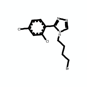 Clc1ccc(C2=NN=C[SH]2CCCCBr)c(Cl)c1